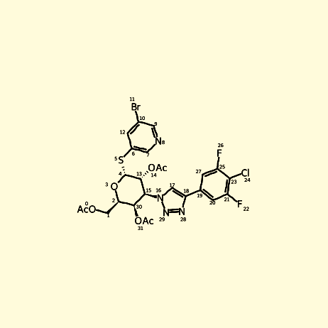 CC(=O)OC[C@H]1O[C@H](Sc2cncc(Br)c2)[C@H](OC(C)=O)[C@@H](n2cc(-c3cc(F)c(Cl)c(F)c3)nn2)[C@H]1OC(C)=O